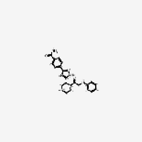 NC(=O)c1ccc(-c2n[nH]c([C@H]3CNCCN3C(=O)COc3ccccc3)n2)cc1